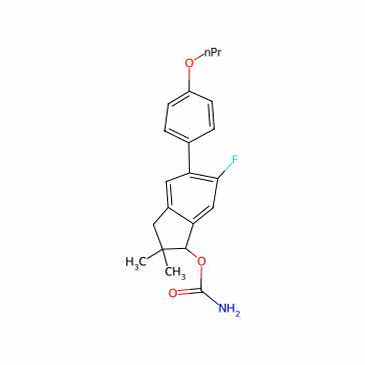 CCCOc1ccc(-c2cc3c(cc2F)C(OC(N)=O)C(C)(C)C3)cc1